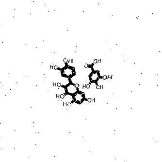 O=C(O)c1cc(O)c(O)c(O)c1.Oc1cc(O)c2c(c1)OC(c1ccc(O)c(O)c1)C(O)C2O